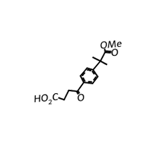 COC(=O)C(C)(C)c1ccc(C(=O)CCC(=O)O)cc1